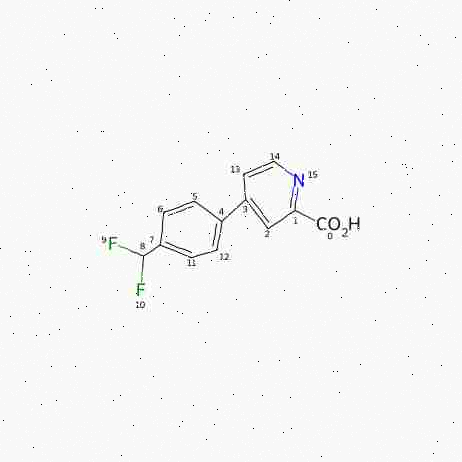 O=C(O)c1cc(-c2ccc(C(F)F)cc2)ccn1